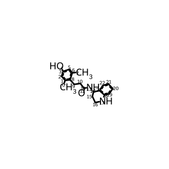 Cc1cc(O)cc(C)c1CCC(=O)NC1CCNc2ccccc21